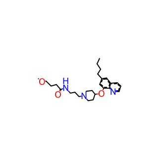 CCCCc1cc(OC2CCN(CCCNC(=O)CCCOC)CC2)c2ncccc2c1